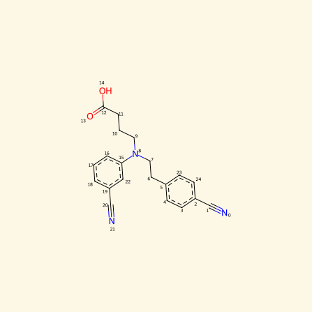 N#Cc1ccc(CCN(CCCC(=O)O)c2cccc(C#N)c2)cc1